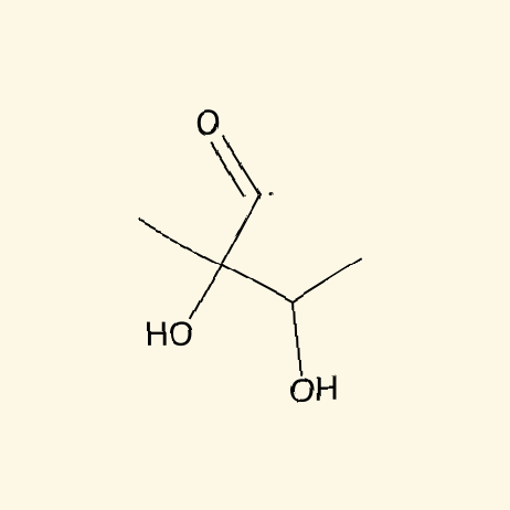 CC(O)C(C)(O)[C]=O